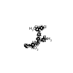 CC1(C)CCC(CN2CCN(c3ccc(C(=O)N[S+]([O-])c4ccc(OCC5COCCO5)c([N+](=O)[O-])c4)c(Oc4cnc(N)c(Cl)c4)c3)CC2)=C(c2ccc(Cl)cc2)C1